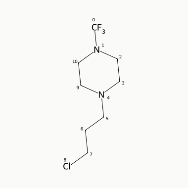 FC(F)(F)N1CCN(CCCCl)CC1